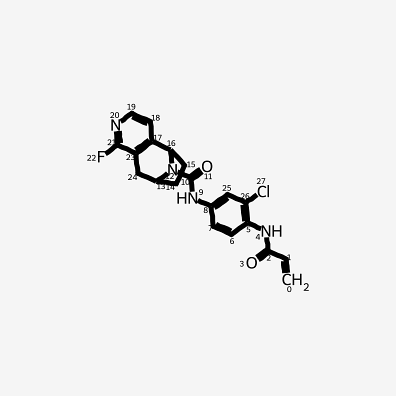 C=CC(=O)Nc1ccc(NC(=O)N2C3CCC2c2ccnc(F)c2C3)cc1Cl